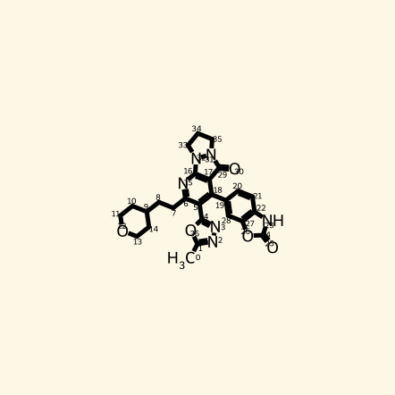 Cc1nnc(-c2c(CCC3CCOCC3)nc3c(c2-c2ccc4[nH]c(=O)oc4c2)c(=O)n2n3CCC2)o1